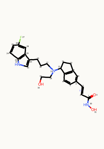 O=C(/C=C/c1ccc2c(c1)CCC2N(CCO)CCCc1c[nH]c2ccc(F)cc12)NO